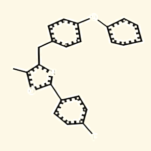 Cc1oc(-c2ccc(F)cc2)nc1Cc1ccc(Oc2ccccc2)cc1